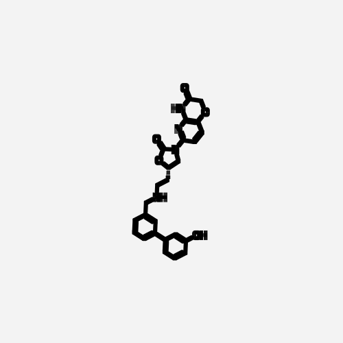 O=C1COc2ccc(N3C[C@H](CCNCc4cccc(-c5cccc(O)c5)c4)OC3=O)nc2N1